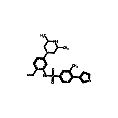 COc1ccc(N2CC(C)NC(C)C2)cc1NS(=O)(=O)c1ccc(-c2ccoc2)c(C)c1